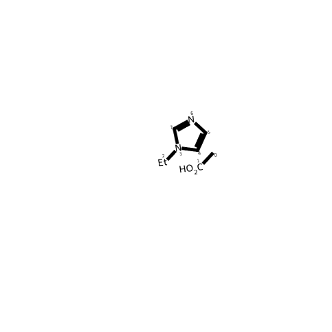 CC(=O)O.CCn1ccnc1